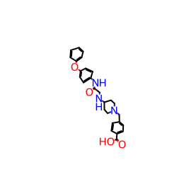 O=C(CNC1CCN(Cc2ccc(C(=O)O)cc2)CC1)Nc1ccc(Oc2ccccc2)cc1